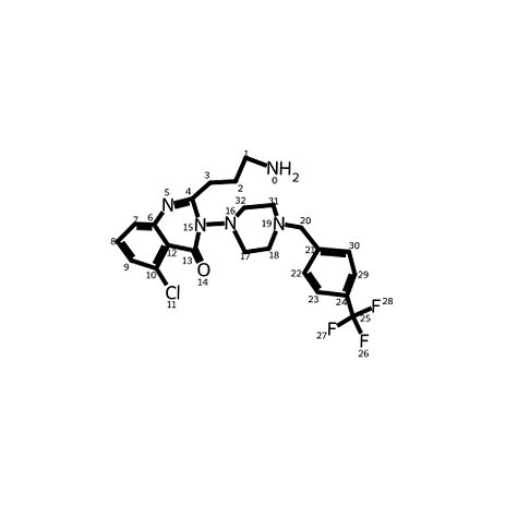 NCCCc1nc2cccc(Cl)c2c(=O)n1N1CCN(Cc2ccc(C(F)(F)F)cc2)CC1